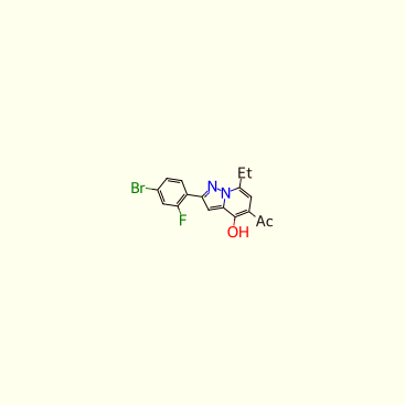 CCc1cc(C(C)=O)c(O)c2cc(-c3ccc(Br)cc3F)nn12